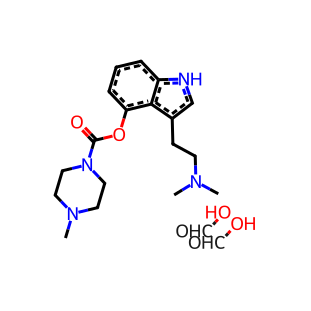 CN(C)CCc1c[nH]c2cccc(OC(=O)N3CCN(C)CC3)c12.O=CO.O=CO